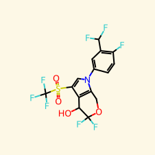 O=S(=O)(c1cn(-c2ccc(F)c(C(F)F)c2)c2c1C(O)C(F)(F)OC2)C(F)(F)F